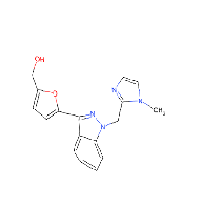 Cn1ccnc1Cn1nc(-c2ccc(CO)o2)c2ccccc21